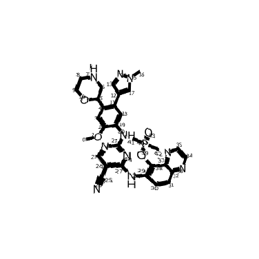 COc1cc(C2CNCCO2)c(-c2cnn(C)c2)cc1Nc1ncc(C#N)c(Nc2ccc3nccnc3c2OP(C)(C)=O)n1